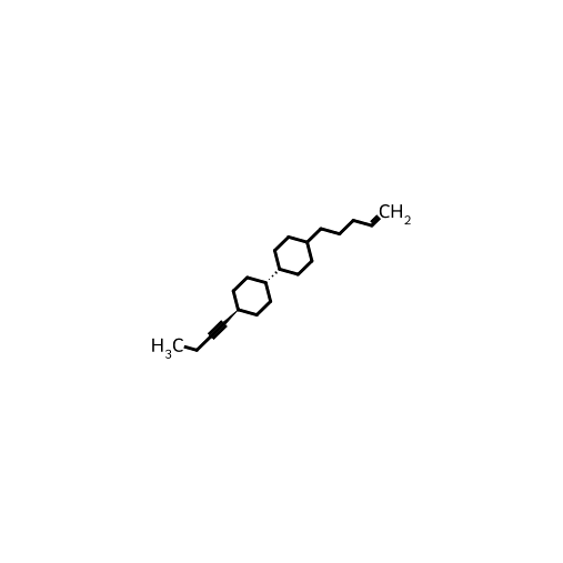 C=CCCCC1CCC([C@H]2CC[C@H](C#CCC)CC2)CC1